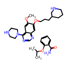 CC(C)Oc1ccccc1C(N)=O.COc1cc2c(N3CCNCC3)ncnc2cc1OCCCC1CCCNC1